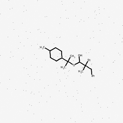 CCC(C)(CC(C)C)C(O)OC(C)(C)C1CCC(C)CC1